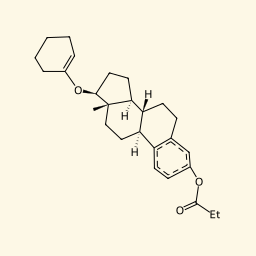 CCC(=O)Oc1ccc2c(c1)CC[C@@H]1[C@@H]2CC[C@]2(C)[C@@H](OC3=CCCCC3)CC[C@@H]12